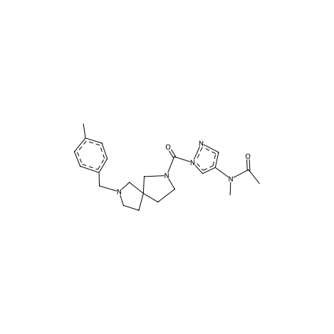 CC(=O)N(C)c1cnn(C(=O)N2CCC3(CCN(Cc4ccc(C)cc4)C3)C2)c1